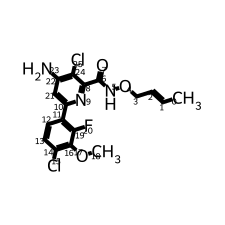 CC=CCONC(=O)c1nc(-c2ccc(Cl)c(OC)c2F)cc(N)c1Cl